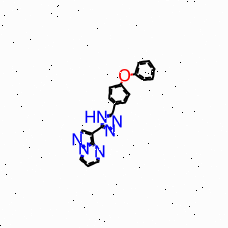 c1ccc(Oc2ccc(-c3nnc(-c4cnn5cccnc45)[nH]3)cc2)cc1